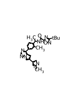 Cc1cc(-c2ncnn3cc(-c4cnn(C)c4)cc23)ccc1C(C)NC(=O)c1nc(C(C)(C)C)no1